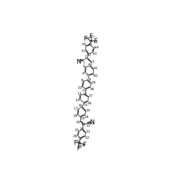 N#C/C(=C\c1ccc(-c2ccc(-c3ccc(-c4ccc(/C=C(\C#N)c5ccc(C(F)(F)F)cc5)cc4)cc3)cc2)cc1)c1ccc(C(F)(F)F)cc1